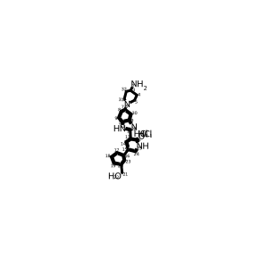 Cl.Cl.NC1CCN(c2ccc3[nH]c(-c4cc(-c5cccc(CO)c5)c[nH]c4=O)nc3c2)CC1